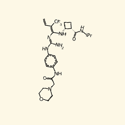 C=C/C(=C(\N=C(/N)Nc1ccc(NC(=O)CN2CCOCC2)cc1)N[C@@H]1CC[C@@H]1C(=O)NC(C)C)C(F)(F)F